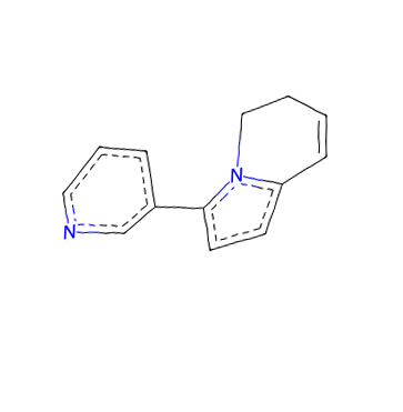 C1=Cc2ccc(-c3cccnc3)n2CC1